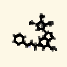 CC(=O)[C@H]1O[C@@H](n2cnc3c(N)nc(N/N=C/C4CC=CCC4)nc32)[C@H](O)[C@@H]1O